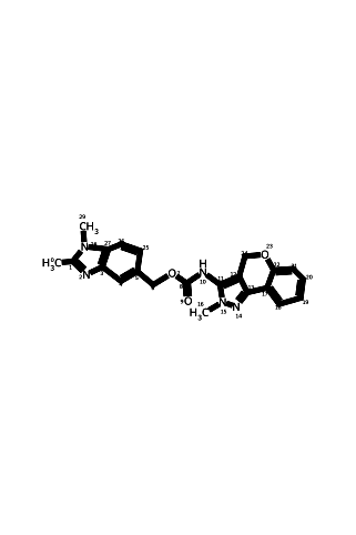 Cc1nc2cc(COC(=O)Nc3c4c(nn3C)-c3ccccc3OC4)ccc2n1C